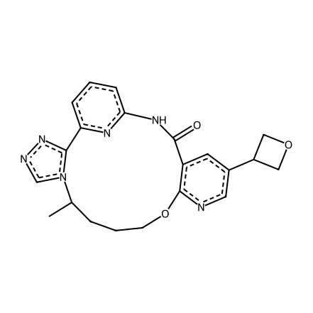 CC1CCCOc2ncc(C3COC3)cc2C(=O)Nc2cccc(n2)-c2nncn21